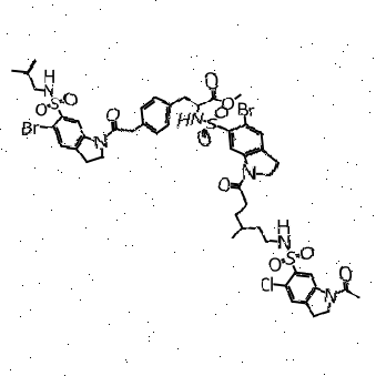 COC(=O)[C@H](Cc1ccc(CC(=O)N2CCc3cc(Br)c(S(=O)(=O)NCC(C)C)cc32)cc1)NS(=O)(=O)c1cc2c(cc1Br)CCN2C(=O)CCC(C)CCNS(=O)(=O)c1cc2c(cc1Cl)CCN2C(C)=O